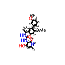 CCOC(=O)CC(NC(=O)Nc1c(O)cc(C)n(C)c1=O)c1ccc(OC)c(-c2cccc(OC(F)(F)F)c2)c1